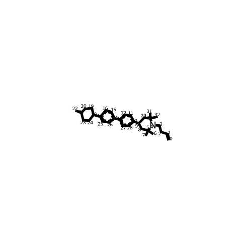 C=CCCN1C(C)(C)CC(c2ccc(-c3ccc(C4CCC(C)CC4)cc3)cc2)CC1(C)C